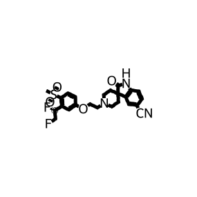 CS(=O)(=O)c1ccc(OCCN2CCC3(CC2)C(=O)Nc2ccc(C#N)cc23)cc1[C@H](F)CF